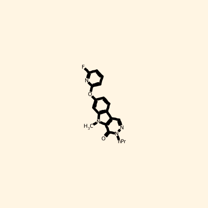 CCCn1ncc2c3ccc(Oc4cccc(F)n4)cc3n(C)c2c1=O